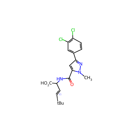 Cn1nc(-c2ccc(Cl)c(Cl)c2)cc1C(=O)NC(/C=C/C(C)(C)C)C(=O)O